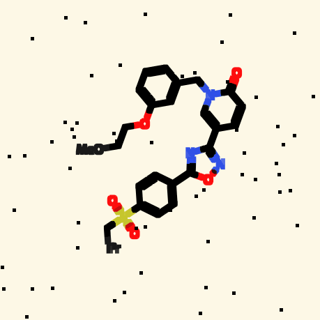 COCCOc1cccc(Cn2cc(-c3noc(-c4ccc(S(=O)(=O)CC(C)C)cc4)n3)ccc2=O)c1